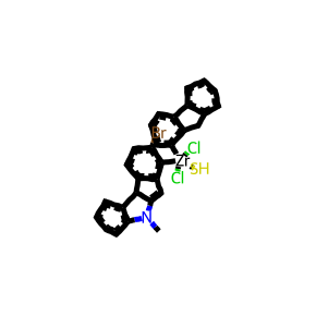 CN1C2=Cc3c(ccc(Br)[c]3[Zr]([SH])([Cl])([Cl])[c]3cccc4c3Cc3ccccc3-4)C2c2ccccc21